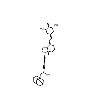 C=C1[C@H](O)CC(=C/C=C2\CCC[C@@]3(C)C2CC[C@@H]3C#CC#CC(O)CC23CC4CC(CC(C4)C2)C3)C[C@H]1O